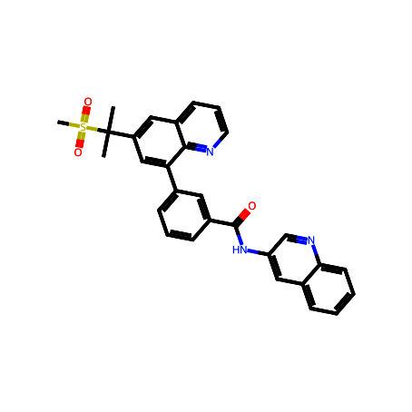 CC(C)(c1cc(-c2cccc(C(=O)Nc3cnc4ccccc4c3)c2)c2ncccc2c1)S(C)(=O)=O